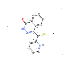 O=c1[nH]nc(C(S)c2ccccn2)c2ccccc12